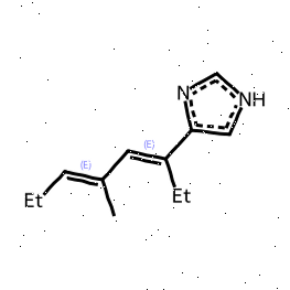 CC/C=C(C)/C=C(\CC)c1c[nH]cn1